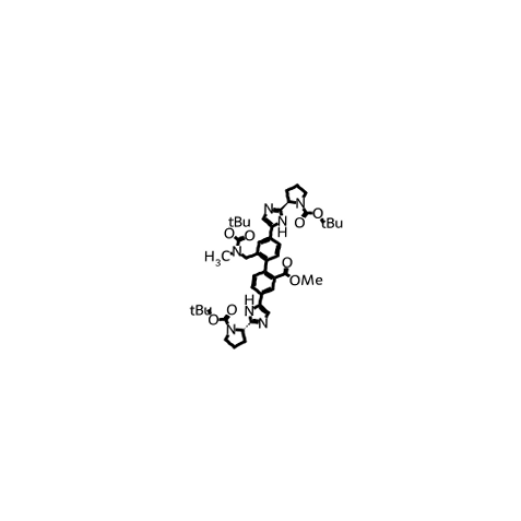 COC(=O)c1cc(-c2cnc([C@@H]3CCCN3C(=O)OC(C)(C)C)[nH]2)ccc1-c1ccc(-c2cnc([C@H]3CCCN3C(=O)OC(C)(C)C)[nH]2)cc1CN(C)C(=O)OC(C)(C)C